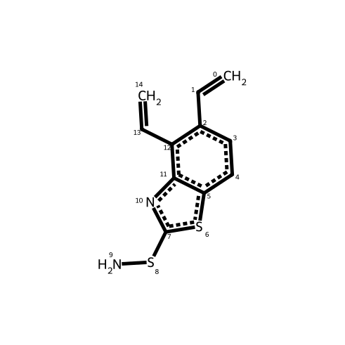 C=Cc1ccc2sc(SN)nc2c1C=C